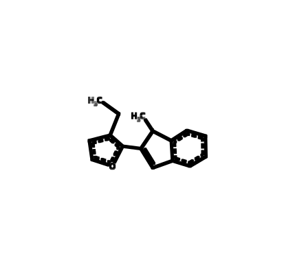 CCc1ccoc1C1=Cc2ccccc2[C]1C